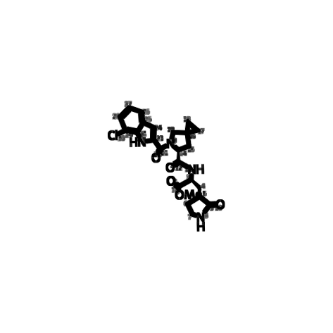 COC(=O)[C@H](C[C@@H]1CCNC1=O)NC(=O)[C@@H]1CC2(CC2)CN1C(=O)c1cc2cccc(Cl)c2[nH]1